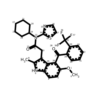 COc1ccc2[nH]c(C)c(CC(=O)N(c3nccs3)C3CCCCC3)c2c1C(=O)c1ccccc1C(F)(F)F